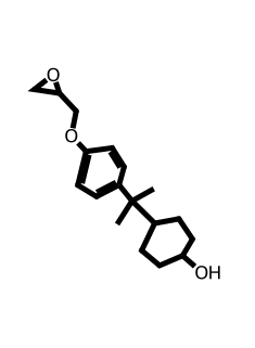 CC(C)(c1ccc(OCC2CO2)cc1)C1CCC(O)CC1